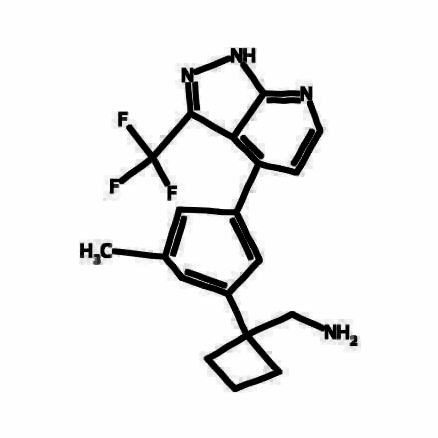 Cc1cc(-c2ccnc3[nH]nc(C(F)(F)F)c23)cc(C2(CN)CCC2)c1